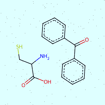 NC(CS)C(=O)O.O=C(c1ccccc1)c1ccccc1